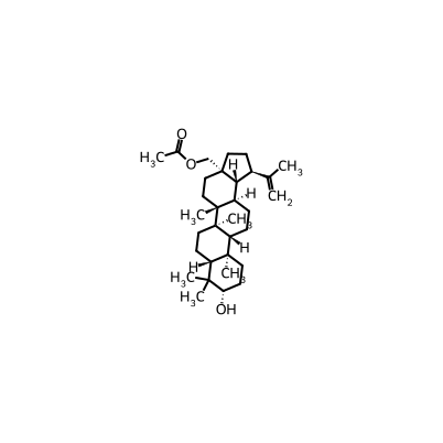 C=C(C)[C@@H]1CC[C@]2(COC(C)=O)CC[C@]3(C)[C@H](CC[C@@H]4[C@@]5(C)CC[C@H](O)C(C)(C)[C@@H]5CC[C@]43C)[C@@H]12